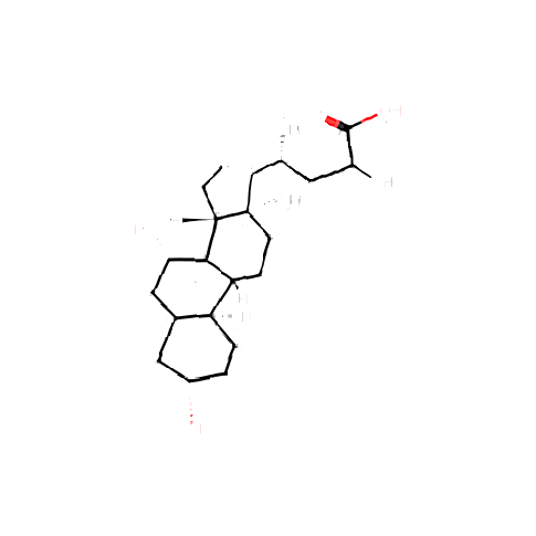 CC(C[C@@H](C)[C@H]1CC[C@H]2[C@@H]3[C@@H](O)CC4C[C@@H](O)CC[C@]4(C)[C@H]3CC[C@]12C)C(=O)O